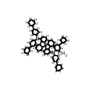 CC1C=C(c2ccccc2)C=CC1N(c1ccc(-c2ccccc2)cc1)c1cccc2c1-c1ccccc1C21c2ccccc2-c2c(N(c3ccc(-c4ccccc4)cc3)c3ccc(-c4ccccc4)cc3)cccc21